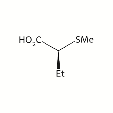 CC[C@H](SC)C(=O)O